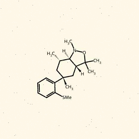 CSc1ccccc1[C@@]1(C)C[C@@H]2[C@@H]([C@@H](C)C1)N(C)OC2(C)C